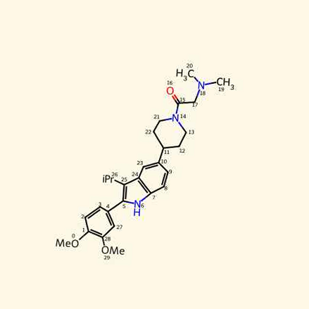 COc1ccc(-c2[nH]c3ccc(C4CCN(C(=O)CN(C)C)CC4)cc3c2C(C)C)cc1OC